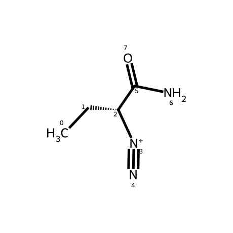 CC[C@@H]([N+]#N)C(N)=O